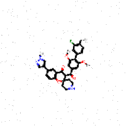 CCOc1cc(C(=O)C2C(=O)c3cc(-c4cnn(C)c4)ccc3OC23CCNCC3)cc(OCC)c1-c1ccc(C(=O)O)c(F)c1